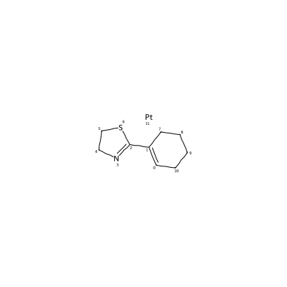 C1=C(C2=NCCS2)CCCC1.[Pt]